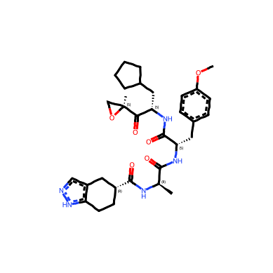 COc1ccc(C[C@H](NC(=O)[C@@H](C)NC(=O)[C@@H]2CCc3[nH]ncc3C2)C(=O)N[C@@H](CC2CCCC2)C(=O)[C@]2(C)CO2)cc1